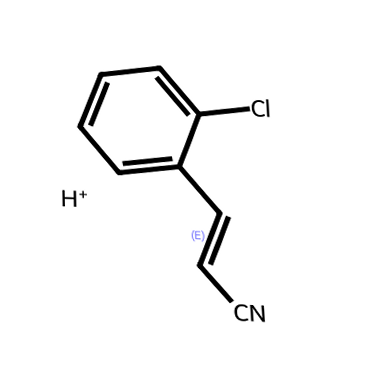 N#C/C=C/c1ccccc1Cl.[H+]